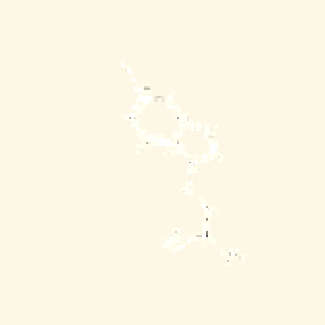 CN(C)CCn1ccc2cc(F)cnc21